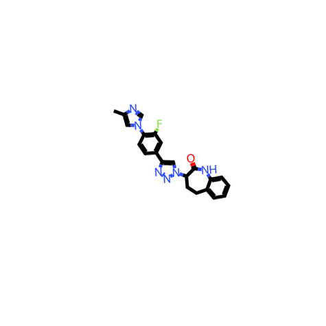 Cc1cn(-c2ccc(-c3cn(C4CCc5ccccc5NC4=O)nn3)cc2F)cn1